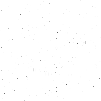 CN(C)c1ccncc1.CS(=O)(=O)OS(C)(=O)=O